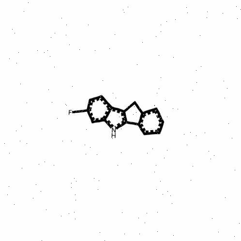 Fc1ccc2c3c([nH]c2c1)-c1ccccc1C3